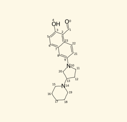 O=Cc1c(O)ccc2cc(N3CCC(N4CCCCC4)C3)ccc12